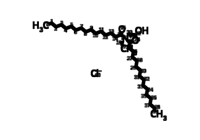 CCCCCCCCCCCCCCCC(=O)[N+](CC)(CCO)C(=O)CCCCCCCCCCCCCCC.[Cl-]